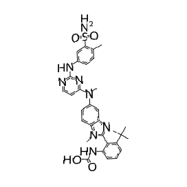 Cc1ccc(Nc2nccc(N(C)c3ccc4c(c3)nc(-c3c(NC(=O)O)cccc3C(C)(C)C)n4C)n2)cc1S(N)(=O)=O